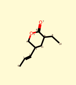 C/C=C/C1COC(=O)C(CC)C1